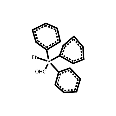 CCP(C=O)(c1ccccc1)(c1ccccc1)c1ccccc1